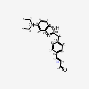 CCN(CC)c1ccc2[nH]c(Cc3ccc(/C=C/C=O)cc3)nc2c1